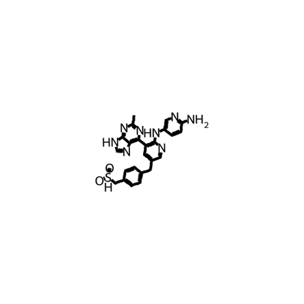 Cc1nc(-c2cc(Cc3ccc(C[SH](=O)=O)cc3)cnc2Nc2ccc(N)nc2)c2nc[nH]c2n1